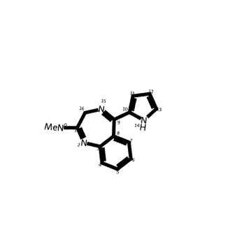 CNC1=Nc2ccccc2C(c2ccc[nH]2)=NC1